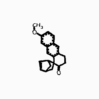 COc1ccc2cc3c(cc2c1)C1(CC2C=CC1C2)C(=O)CC3